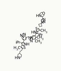 Cc1c(-c2[nH]c3sc([C@H]4C[C@H](n5cc(C6COCCN6)nn5)C4)c(C)c3c2C(C)C)cn2c(nc[n+]2Cc2cc(-c3[nH]c4sc(CCC5CCNCC5)c(C)c4c3C(C)C)cn3ncnc23)c1C